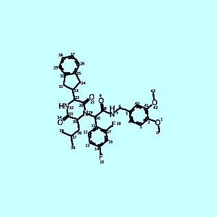 COc1ccc(CNC(=O)C(c2ccc(F)cc2F)N2C(=O)C(C3Cc4ccccc4C3)NC(=O)C2CC(C)C)cc1OC